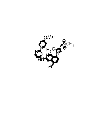 COC1CCN(c2nccc(Nc3cc4c(C(C)C)ccc(N5C[C@H](CS(C)(=O)=O)[C@H]5C)c4cn3)n2)CC1